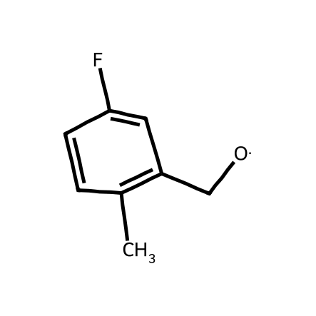 Cc1ccc(F)cc1C[O]